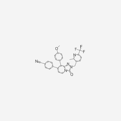 COc1ccc(-c2c(-c3ccc(C#N)cc3)ccn3c(=O)n(Cc4ccc(C(F)(F)F)nc4C)nc23)cc1